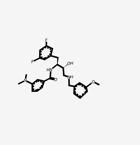 COc1cccc(CNC[C@@H](O)[C@H](Cc2cc(F)cc(F)c2)NC(=O)c2cccc(N(C)C)c2)c1